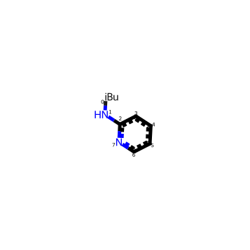 CCC(C)Nc1ccccn1